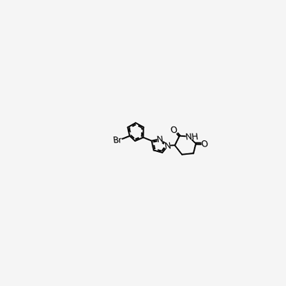 O=C1CCC(n2ccc(-c3cccc(Br)c3)n2)C(=O)N1